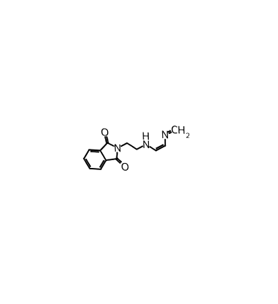 C=N/C=C\NCCN1C(=O)c2ccccc2C1=O